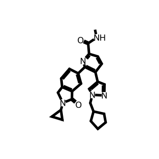 CNC(=O)c1ccc(-c2cnn(CC3CCCC3)c2)c(-c2ccc3c(c2)C(=O)N(C2CC2)C3)n1